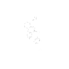 CCC(C)n1c(=O)c2c(-c3noc(C(C)(C)O)n3)ncn2c2ccc(F)c(C#N)c21